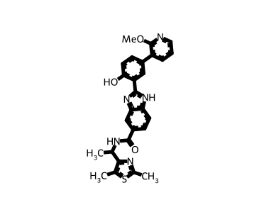 COc1ncccc1-c1ccc(O)c(-c2nc3cc(C(=O)NC(C)c4nc(C)sc4C)ccc3[nH]2)c1